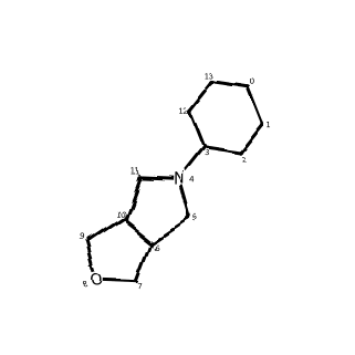 C1CCC(N2CC3COCC3C2)CC1